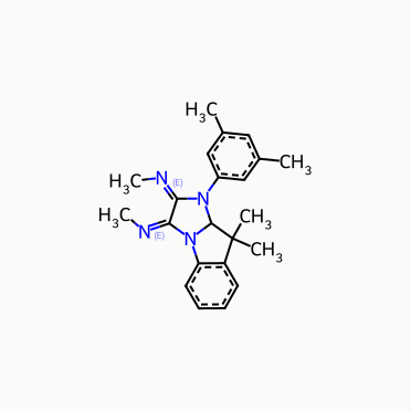 C/N=C1\C(=N/C)N2c3ccccc3C(C)(C)C2N1c1cc(C)cc(C)c1